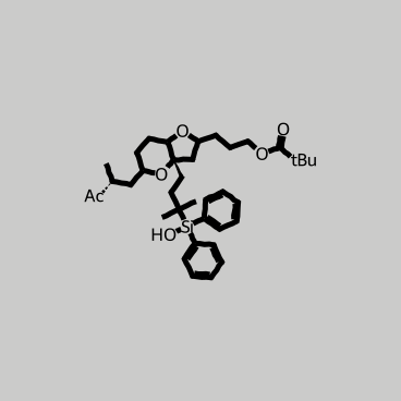 CC(=O)[C@H](C)CC1CCC2OC(CCCOC(=O)C(C)(C)C)C[C@]2(CCC(C)(C)[Si](O)(c2ccccc2)c2ccccc2)O1